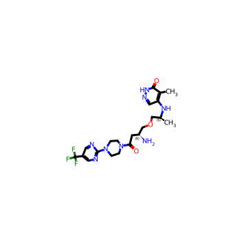 Cc1c(N[C@@H](C)COC[C@H](N)CC(=O)N2CCN(c3ncc(C(F)(F)F)cn3)CC2)cn[nH]c1=O